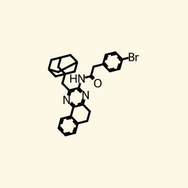 O=C(Cc1ccc(Br)cc1)Nc1nc2c(nc1CC13CC4CC(CC(C4)C1)C3)-c1ccccc1CC2